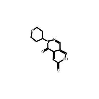 O=c1cc2c(=O)n(C3CCOCC3)ncc2c[nH]1